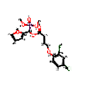 COP(=O)(OC)C(OC(=O)CCCOc1ccc(Cl)cc1F)c1ccco1